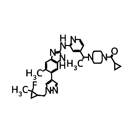 Cc1cc2nc(Nc3cc(C(C)N4CCN(C(=O)C5CC5)CC4)ccn3)[nH]c2cc1-c1cnn(CC2CC2(C)F)c1